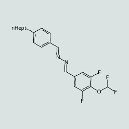 CCCCCCCc1ccc(C=NN=Cc2cc(F)c(OC(F)F)c(F)c2)cc1